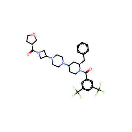 O=C([C@H]1CCOC1)N1CC(N2CCN(C3CCN(C(=O)c4cc(C(F)(F)F)cc(C(F)(F)F)c4)[C@H](Cc4ccccc4)C3)CC2)C1